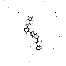 Cc1nc(C)c(C(=O)Nc2ccc(F)c(-c3cn4cc(NC(=O)c5ccccn5)cnc4n3)c2)o1